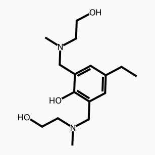 CCc1cc(CN(C)CCO)c(O)c(CN(C)CCO)c1